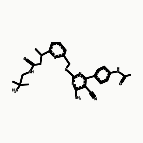 CC(=O)Nc1ccc(-c2nc(SCc3cccc(C(C)CC(=O)NCC(C)(C)N)n3)nc(N)c2C#N)cc1